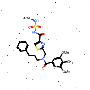 COc1cc(C(=O)N(CCCc2ccccc2)Cc2nc(C(=O)NS(=O)(=O)NNC(C)=O)cs2)cc(OC)c1C